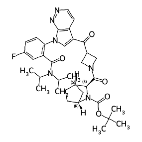 CC(C)N(C(=O)c1cc(F)ccc1-n1cc(C(=O)C2CN(C(=O)[C@@H]3[C@H]4CC[C@H](C4)N3C(=O)OC(C)(C)C)C2)c2ccnnc21)C(C)C